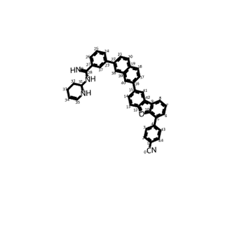 N#Cc1ccc(-c2cccc3c2oc2ccc(-c4ccc5ccc(-c6cccc(C(=N)NC7CCC=CN7)c6)cc5c4)cc23)cc1